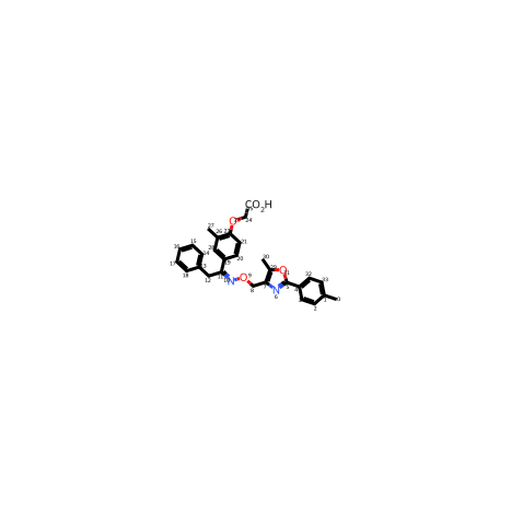 Cc1ccc(-c2nc(CON=C(Cc3ccccc3)c3ccc(OCC(=O)O)c(C)c3)c(C)o2)cc1